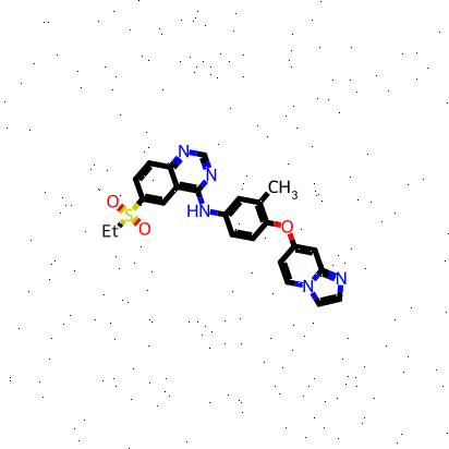 CCS(=O)(=O)c1ccc2ncnc(Nc3ccc(Oc4ccn5ccnc5c4)c(C)c3)c2c1